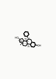 C[C@]12CC[C@@H]3c4ccc(O)cc4C[C@H](c4ccccc4)[C@H]3[C@@H]1C[C@H](O)C2